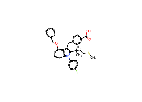 CSCCC(C)(C)c1c(Cc2ccc(C(=O)O)cc2)c2c(OCc3ccccc3)cccc2n1-c1ccc(F)cc1